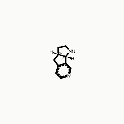 c1cc2c(cn1)[C@H]1NCC[C@H]1C2